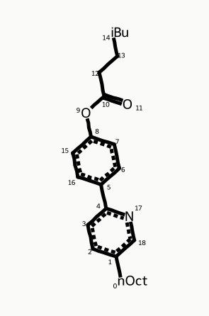 CCCCCCCCc1ccc(-c2ccc(OC(=O)CCC(C)CC)cc2)nc1